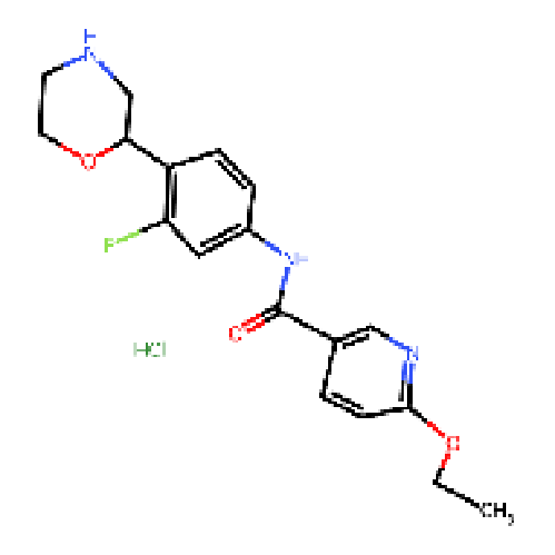 CCOc1ccc(C(=O)Nc2ccc(C3CNCCO3)c(F)c2)cn1.Cl